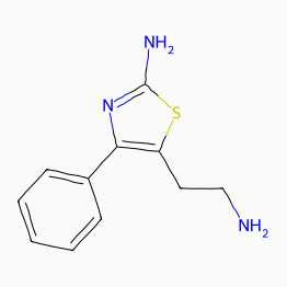 NCCc1sc(N)nc1-c1ccccc1